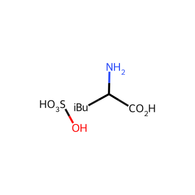 CCC(C)C(N)C(=O)O.O=S(=O)(O)O